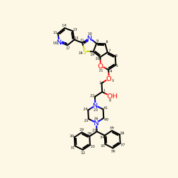 OC(COc1ccc2cc3nc(-c4cccnc4)sc3c-2o1)CN1CCN(C(c2ccccc2)c2ccccc2)CC1